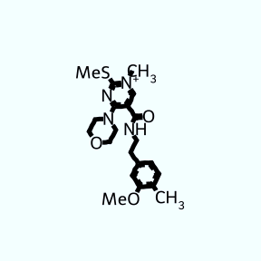 COc1cc(CCNC(=O)c2c[n+](C)c(SC)nc2N2CCOCC2)ccc1C